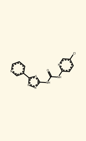 O=C(Nc1ccc(Cl)cn1)Nc1nnc(-c2cccnc2)s1